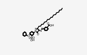 CCCCCCCCCCCCCCCCCC1=NN(c2ccc(Oc3ccccc3)c(S(=O)(=O)O)c2)C(=O)C1/N=N/c1cccc(C(=O)O)c1